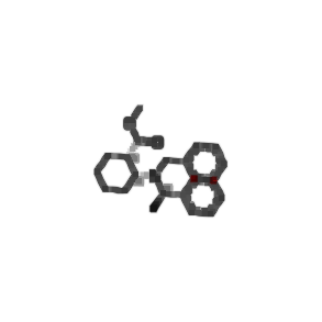 COC(=O)[C@H]1CCCC[C@H]1N(Cc1ccccc1)[C@H](C)c1ccccc1